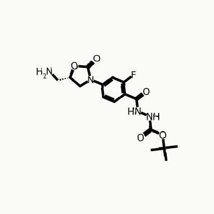 CC(C)(C)OC(=O)NNC(=O)c1ccc(N2C[C@H](CN)OC2=O)cc1F